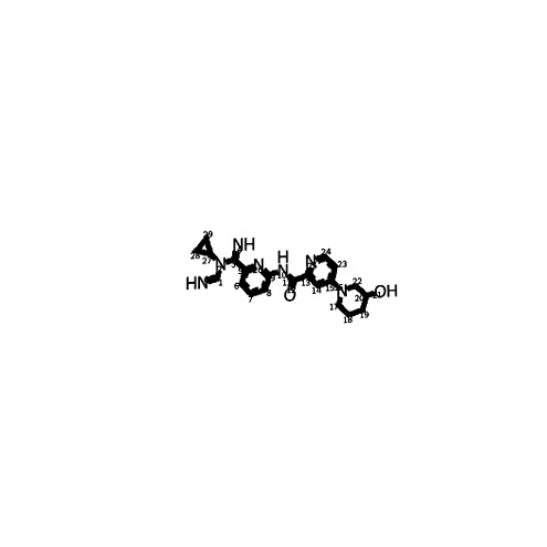 N=CN(C(=N)c1cccc(NC(=O)c2cc(N3CCCC(O)C3)ccn2)n1)C1CC1